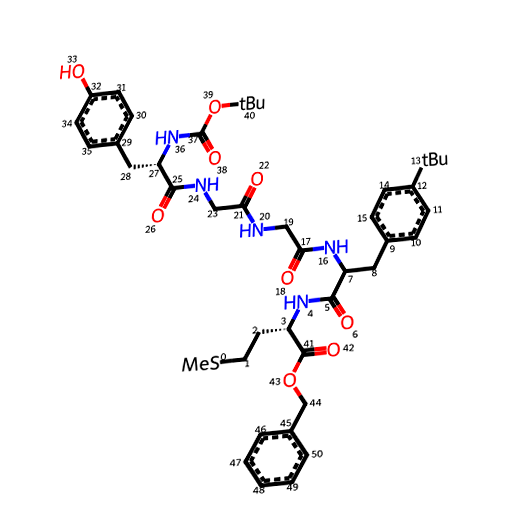 CSCC[C@H](NC(=O)C(Cc1ccc(C(C)(C)C)cc1)NC(=O)CNC(=O)CNC(=O)[C@H](Cc1ccc(O)cc1)NC(=O)OC(C)(C)C)C(=O)OCc1ccccc1